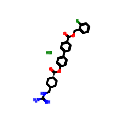 Cl.N=C(N)NC[C@H]1CC[C@H](C(=O)Oc2ccc(-c3ccc(C(=O)OCc4ccccc4F)cc3)cc2)CC1